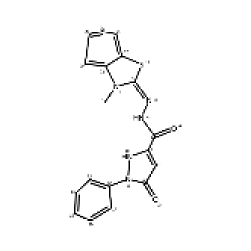 Cn1c(=NNC(=O)c2cc(=O)n(-c3ccccc3)[nH]2)sc2ccccc21